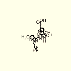 Cc1ccc2c(-c3nc(N)c4c(n3)NC(=O)[C@]4(C)c3ccc(CCC(=O)O)cc3)nn(CCCC(F)(F)F)c2n1